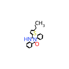 CCCc1ccc(C2Nc3ccccc3C(=O)N2c2ccccc2)s1